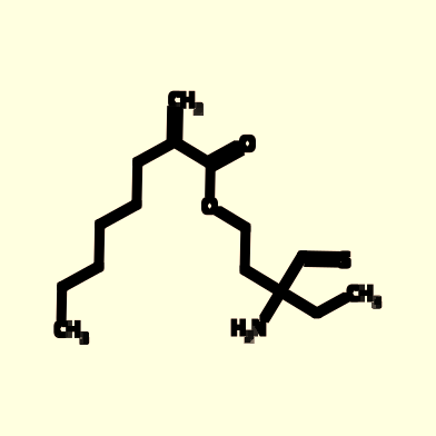 C=C(CCCCCC)C(=O)OCCC(N)(C=S)CC